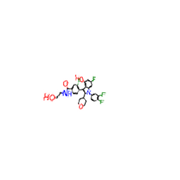 O=C(NCCO)c1ccc(-c2c(C3CCOCC3)n(-c3ccc(F)c(F)c3)c3cc(F)cc(O)c23)c(F)c1